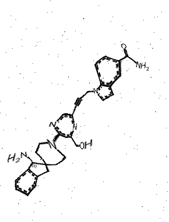 NC(=O)c1ccc2c(ccn2CC#Cc2cnc(N3CCC4(CC3)Cc3ccccc3[C@H]4N)c(CO)n2)c1